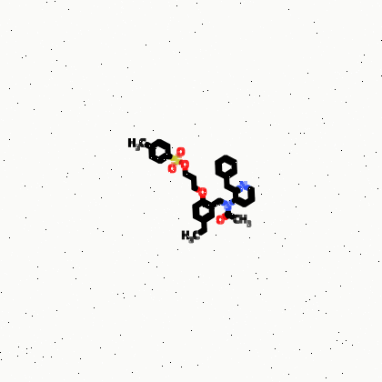 CCc1ccc(OCCCOS(=O)(=O)c2ccc(C)cc2)c(CN(C(C)=O)c2cccnc2Cc2ccccc2)c1